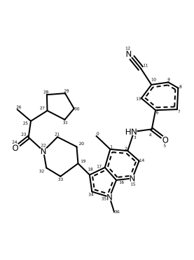 Cc1c(NC(=O)c2cccc(C#N)c2)cnc2c1c(C1CCN(C(=O)C(C)C3CCCC3)CC1)cn2C